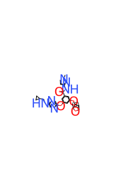 Cn1ccc(NC(=O)c2cc(Oc3cnc(NCC4CC4)cn3)cc(O[C@H]3CCOC3)c2)n1